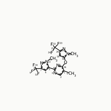 Cc1cnc(-c2cc(C(F)(F)F)nn2C)nc1Oc1cc(C(F)(F)F)nn1C